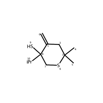 C=C1CC(C)(C)SCC1(S)C(C)C